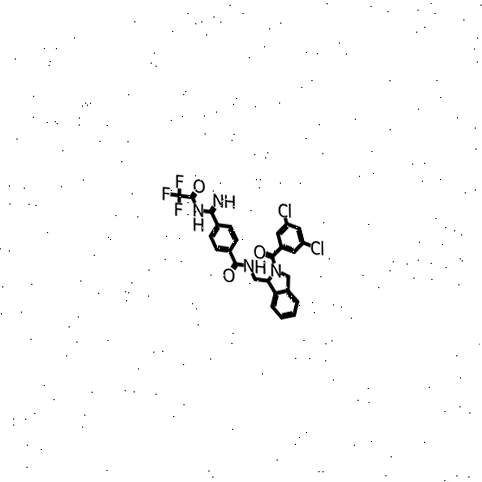 N=C(NC(=O)C(F)(F)F)c1ccc(C(=O)NCC2c3ccccc3CN2C(=O)c2cc(Cl)cc(Cl)c2)cc1